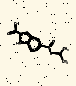 CC(C)OS(=O)c1ccc2[nH]c(C(=O)O)cc2c1